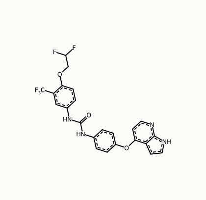 O=C(Nc1ccc(Oc2ccnc3[nH]ccc23)cc1)Nc1ccc(OCC(F)F)c(C(F)(F)F)c1